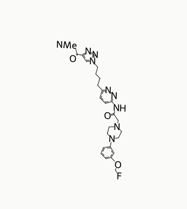 CNC(=O)c1cn(CCCCc2ccc(NC(=O)CN3CCN(c4cccc(OCF)c4)CC3)nn2)nn1